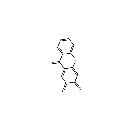 O=C1C=c2oc3ccccc3c(=O)c2=CC1=O